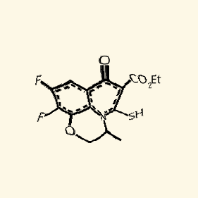 CCOC(=O)c1c(S)n2c3c(c(F)c(F)cc3c1=O)OCC2C